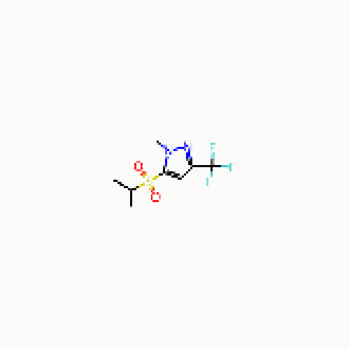 CC(C)S(=O)(=O)c1cc(C(F)(F)F)nn1C